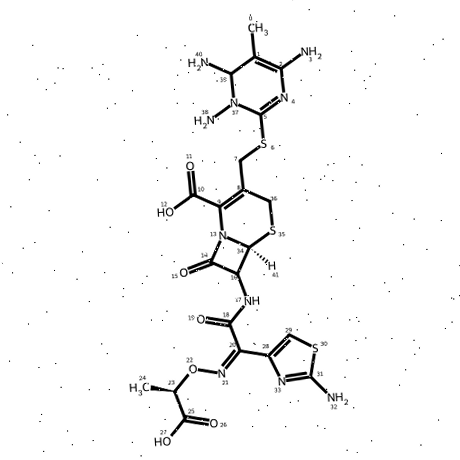 CC1=C(N)N=C(SCC2=C(C(=O)O)N3C(=O)C(NC(=O)/C(=N\O[C@H](C)C(=O)O)c4csc(N)n4)[C@@H]3SC2)N(N)C1N